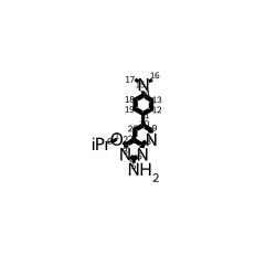 CC(C)Oc1nc(N)nc2ncc(-c3ccc(N(C)C)cc3)cc12